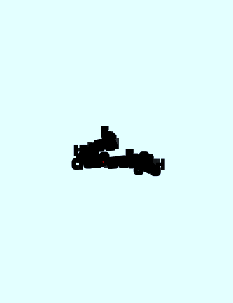 C[C@@H](C(=O)Nc1ccc(Cl)c(OC2CCN(C(=O)CN3CCC(N4CCN(c5cc6c(cc5F)C(=O)N(C5CCC(=O)NC5=O)C6=O)CC4)CC3)CC2)c1)[C@H]1CC[C@@H](c2ccnc3ccc(F)cc32)CC1